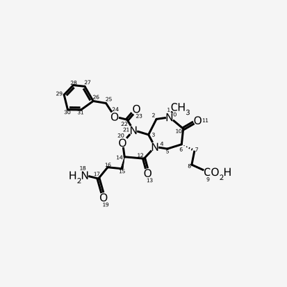 CN1CC2N(C[C@@H](CCC(=O)O)C1=O)C(=O)[C@@H](CCC(N)=O)ON2C(=O)OCc1ccccc1